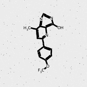 Cc1cc(-c2ccc(OC(F)(F)F)cc2)nc2c(O)ncnc12